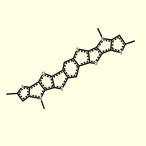 Cc1cc2c(s1)c1oc3c4cc5sc6c(oc7c8sc(C)cc8n(C)c76)c5cc4sc3c1n2C